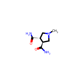 CN1C[C@@H](C(N)=O)[C@H](C(N)=O)C1